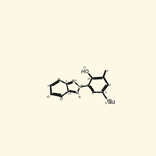 Cc1cc(C(C)(C)C)cc(-n2nc3ccccc3n2)c1O